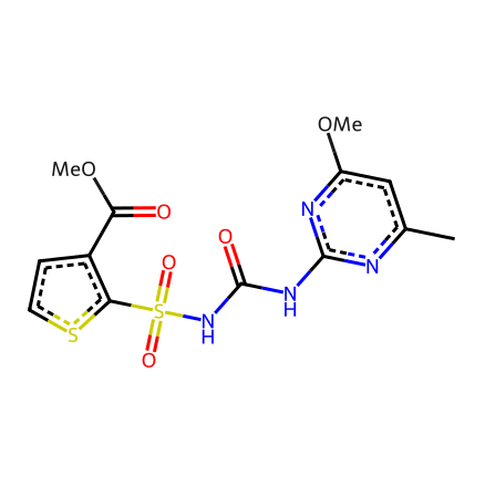 COC(=O)c1ccsc1S(=O)(=O)NC(=O)Nc1nc(C)cc(OC)n1